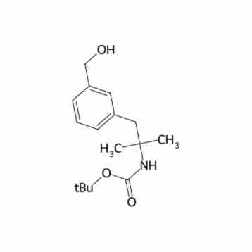 CC(C)(Cc1cccc(CO)c1)NC(=O)OC(C)(C)C